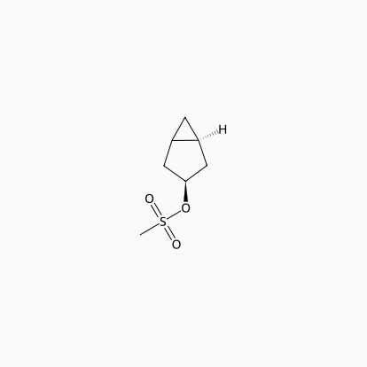 CS(=O)(=O)O[C@H]1CC2C[C@H]2C1